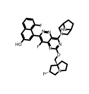 Oc1cc(-c2nnc3c(N4CC5CCC(C4)N5)nc(OC[C@@]45CCCN4C[C@H](F)C5)nc3c2F)c2c(F)cccc2c1